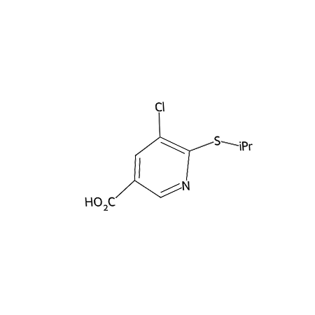 CC(C)Sc1ncc(C(=O)O)cc1Cl